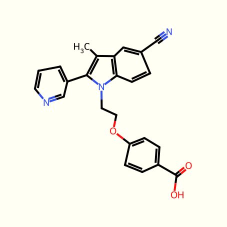 Cc1c(-c2cccnc2)n(CCOc2ccc(C(=O)O)cc2)c2ccc(C#N)cc12